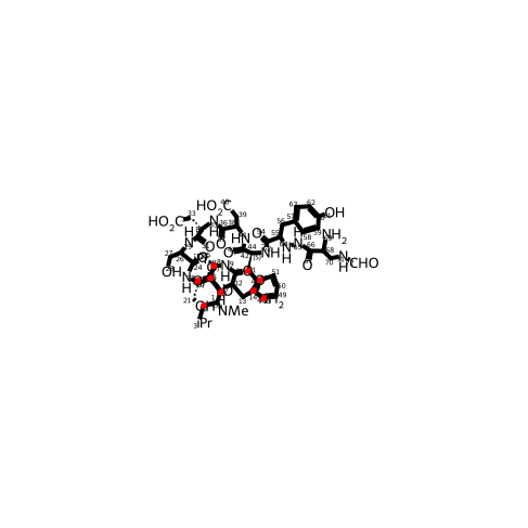 CN[C@@H](CC(C)C)C(=O)C(=O)[C@@H](NC(=O)C(CC(N)=O)NC(=O)[C@H](CO)NC(=O)C(CO)NC(=O)[C@H](CC(=O)O)NC(=O)C(CC(=O)O)NC(=O)[C@H](Cc1ccccc1)NC(=O)C(Cc1ccc(O)cc1)NNC(=O)C(N)CNC=O)C(C)C